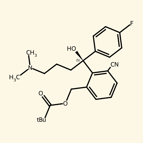 CN(C)CCC[C@](O)(c1ccc(F)cc1)c1c(C#N)cccc1COC(=O)C(C)(C)C